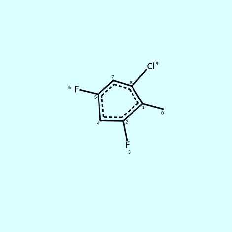 Cc1c(F)cc(F)cc1Cl